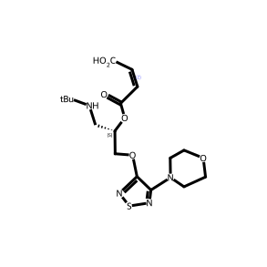 CC(C)(C)NC[C@@H](COc1nsnc1N1CCOCC1)OC(=O)/C=C\C(=O)O